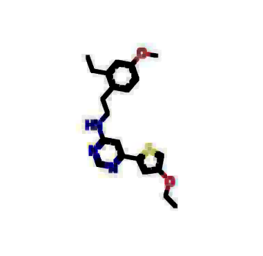 CCOc1csc(-c2cc(NCCc3ccc(OC)cc3CC)ncn2)c1